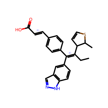 CC/C(=C(/c1ccc(/C=C/C(=O)O)cc1)c1ccc2[nH]ncc2c1)C1C=CSC1C